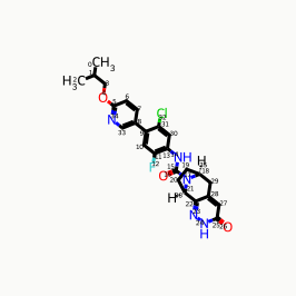 CC(C)COc1ccc(-c2cc(F)c(NC(=O)N3[C@H]4CC[C@@H]3c3n[nH]c(=O)cc3C4)cc2Cl)cn1